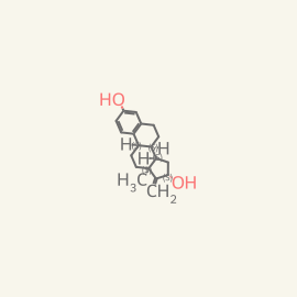 C=C1[C@@H](O)C[C@H]2[C@@H]3CCc4cc(O)ccc4[C@H]3CC[C@]12C